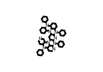 c1ccc(-n2c3ccccc3n3c4cc5c(nc4n(-c4ccccc4)c4cccc2c43)n(-c2ccccc2)c2nccc3c2n5c2cnccc2n3-c2ccccc2)cc1